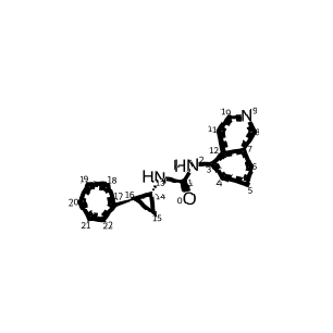 O=C(Nc1cccc2cnccc12)N[C@@H]1C[C@H]1c1ccccc1